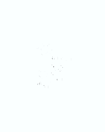 COc1nnc(N2c3cccc(B(O)O)c3CC2C)nc1NCc1cccc(F)c1